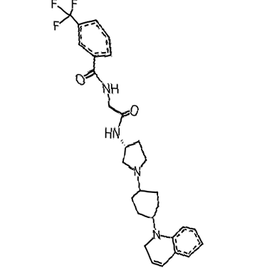 O=C(CNC(=O)c1cccc(C(F)(F)F)c1)N[C@@H]1CCN(C2CCC(N3CC=Cc4ccccc43)CC2)C1